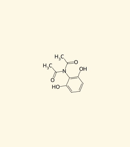 CC(=O)N(C(C)=O)c1c(O)cccc1O